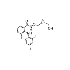 O=C(NOCC1CC1CO)c1cccc(F)c1Nc1ccc(I)cc1F